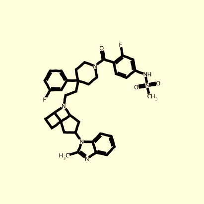 Cc1nc2ccccc2n1C1CC2N(CCC3(c4cccc(F)c4)CCN(C(=O)c4ccc(NS(C)(=O)=O)cc4F)CC3)C3CCC32C1